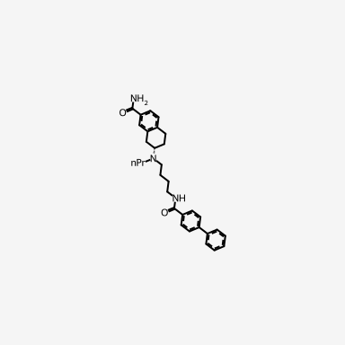 CCCN(CCCCNC(=O)c1ccc(-c2ccccc2)cc1)[C@H]1CCc2ccc(C(N)=O)cc2C1